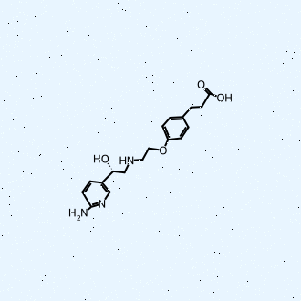 Nc1ccc([C@H](O)CNCCOc2ccc(CCC(=O)O)cc2)cn1